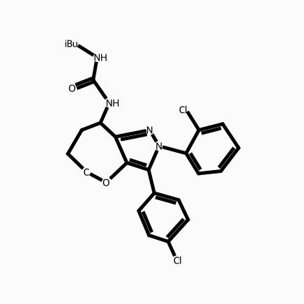 CCC(C)NC(=O)NC1CCCOc2c1nn(-c1ccccc1Cl)c2-c1ccc(Cl)cc1